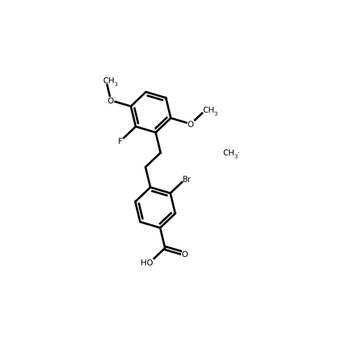 COc1ccc(OC)c(CCc2ccc(C(=O)O)cc2Br)c1F.[CH3]